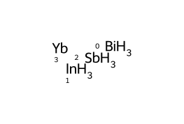 [BiH3].[InH3].[SbH3].[Yb]